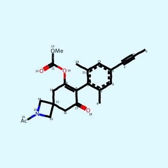 CC#Cc1cc(C)c(C2=C(OC(=O)OC)CC3(CC2=O)CN(C(C)=O)C3)c(C)c1